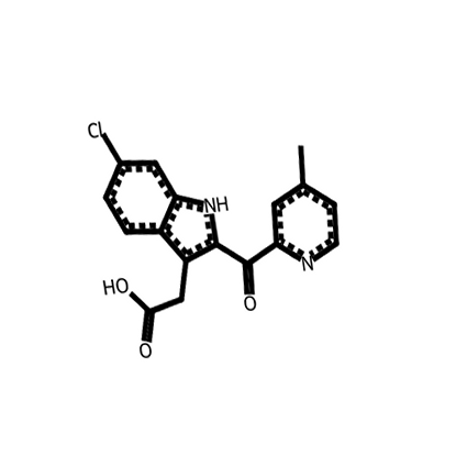 Cc1ccnc(C(=O)c2[nH]c3cc(Cl)ccc3c2CC(=O)O)c1